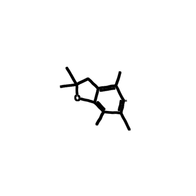 Cc1[c]c(C)c2c(c1C)OC(C)(C)C2